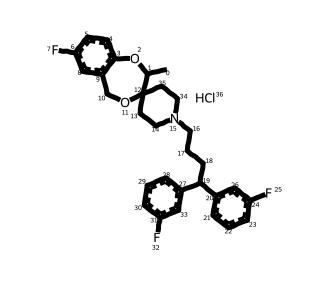 CC1Oc2ccc(F)cc2COC12CCN(CCCC(c1cccc(F)c1)c1cccc(F)c1)CC2.Cl